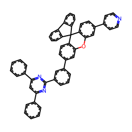 c1ccc(-c2cc(-c3ccccc3)nc(-c3cccc(-c4ccc5c(c4)Oc4cc(-c6ccncc6)ccc4C54c5ccccc5-c5ccccc54)c3)n2)cc1